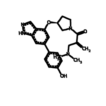 C=C(CN(C)C)C(=O)N1CC[C@H](Oc2cc(-c3ccc(O)cc3)cc3[nH]ncc23)C1